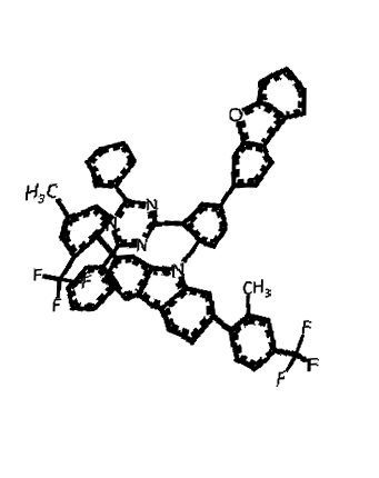 Cc1ccc(-c2ccc3c4ccc(-c5ccc(C(F)(F)F)cc5C)cc4n(-c4ccc(-c5ccc6c(c5)oc5ccccc56)cc4-c4nc(-c5ccccc5)nc(-c5ccccc5)n4)c3c2)c(C(F)(F)F)c1